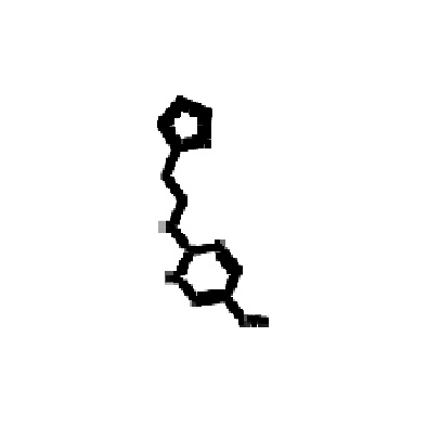 COC1=NNN(NCCc2cccs2)N=C1